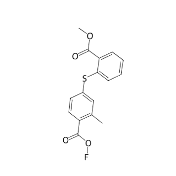 COC(=O)c1ccccc1Sc1ccc(C(=O)OF)c(C)c1